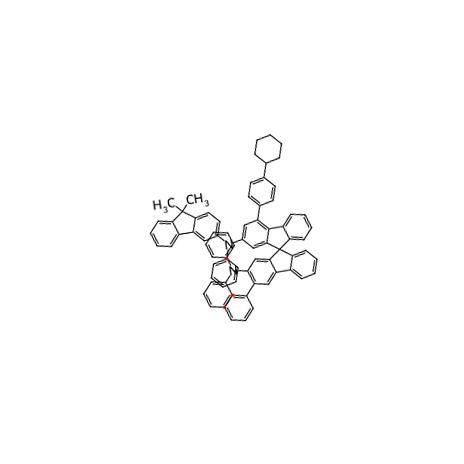 CC1(C)c2ccccc2-c2cc(N(c3ccccc3)c3cc(-c4ccc(C5CCCCC5)cc4)c4c(c3)C3(c5ccccc5-c5cc(-c6ccccc6)c(N(c6ccccc6)c6ccccc6)cc53)c3ccccc3-4)ccc21